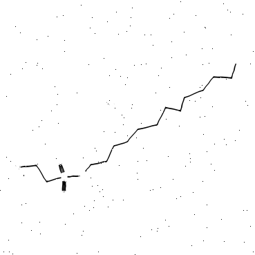 CCCCCCCCCCCCCOS(=O)(=O)CCN.[Na]